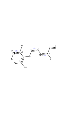 C=C/C(C)=N\C=C/CC(=C(C)C)/C(C)=N\C